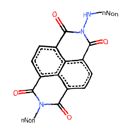 CCCCCCCCCNN1C(=O)c2ccc3c4c(ccc(c24)C1=O)C(=O)N(CCCCCCCCC)C3=O